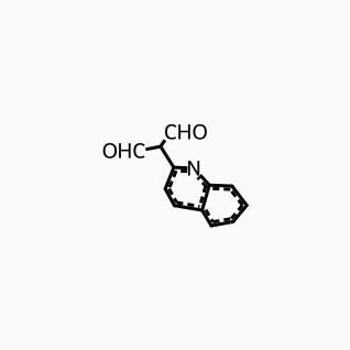 O=CC(C=O)c1ccc2ccccc2n1